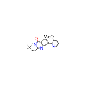 COc1cccnc1-c1ccc2c(=O)n3c(nc2c1)CCC(C)(C)C3